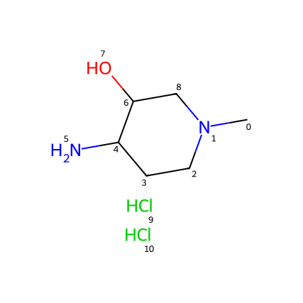 CN1CCC(N)C(O)C1.Cl.Cl